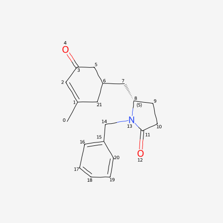 CC1=CC(=O)CC(C[C@@H]2CCC(=O)N2Cc2ccccc2)C1